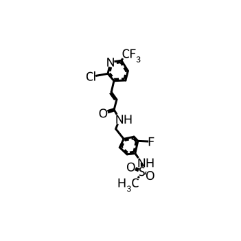 CS(=O)(=O)Nc1ccc(CNC(=O)C=Cc2ccc(C(F)(F)F)nc2Cl)cc1F